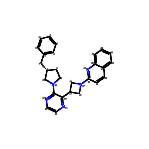 c1ccc(C[C@@H]2CCN(c3nccnc3C3CN(c4ccc5ccccc5n4)C3)C2)cc1